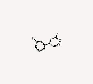 CC(=O)OC(C=O)c1cccc(F)c1